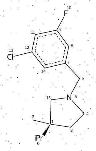 CC(C)[C@]1(C)CCN(Cc2cc(F)cc(Cl)c2)C1